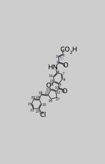 O=C(O)/C=C/C(=O)Nc1ccc2c(=O)c3c(oc2c1)C(=Cc1cccc(Cl)c1)CC3